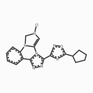 ClN1C=C2N(C1)c1ccccc1-c1nnc(-c3noc(C4CCCC4)n3)n12